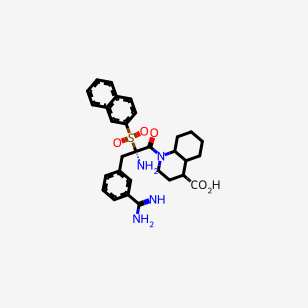 N=C(N)c1cccc(C[C@](N)(C(=O)N2CCC(C(=O)O)C3CCCCC32)S(=O)(=O)c2ccc3ccccc3c2)c1